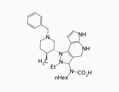 CCCCCCN(C(=O)O)C1C2=C(c3cc[nH]c3NC2)N([C@H]2CN(Cc3ccccc3)CC[C@@H]2C)N1CC